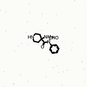 CNC1(C(=O)N(C=O)c2ccccc2)CCNCC1